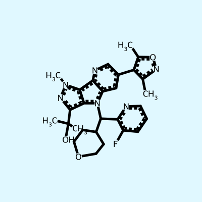 Cc1noc(C)c1-c1cnc2c3c(c(C(C)(C)O)nn3C)n(C(c3ncccc3F)C3CCOCC3)c2c1